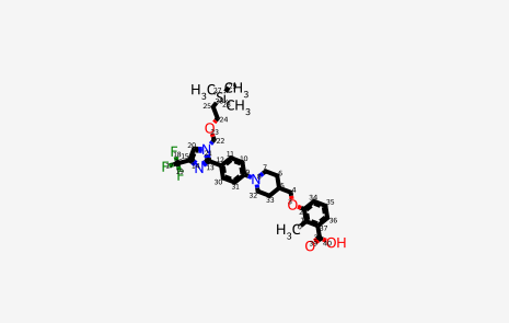 Cc1c(OCC2CCN(c3ccc(-c4nc(C(F)(F)F)cn4COCC[Si](C)(C)C)cc3)CC2)cccc1C(=O)O